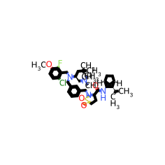 COc1ccc(Cl)c(CN(Cc2cccc(CN3C(C(=O)N[C@H]4[C@H]5CC[C@H](C5)[C@@H]4C(C)C)CCS3(=O)=O)c2)[C@H](CN(C)C)CC(C)(C)C)c1F